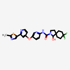 Cc1ncc(-c2cc(Oc3ccc(NC(=O)N4CCC5(CCC(F)(F)CC5)C4O)nc3)ccn2)s1